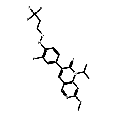 CSc1ncc2cc(-c3ccc(NSCCC(F)(F)F)c(F)c3)c(=O)n(C(C)C)c2n1